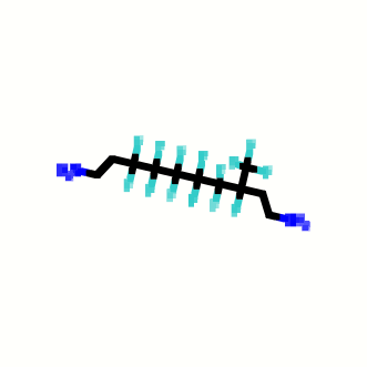 NCCC(F)(F)C(F)(F)C(F)(F)C(F)(F)C(F)(F)C(F)(CCN)C(F)(F)F